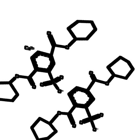 O=C(OC1CCCCC1)c1ccc(C(=O)OC2CCCCC2)c(S(=O)(=O)[O-])c1.O=C(OC1CCCCC1)c1ccc(C(=O)OC2CCCCC2)c(S(=O)(=O)[O-])c1.[Ca+2]